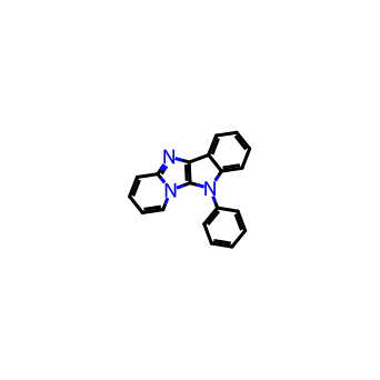 c1ccc(-n2c3ccccc3c3nc4ccccn4c32)cc1